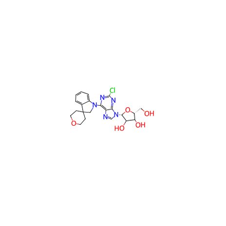 OC[C@H]1O[C@@H](n2cnc3c(N4CC5(CCOCC5)c5ccccc54)nc(Cl)nc32)C(O)C1O